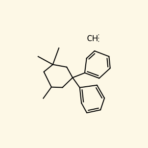 CC1CC(C)(C)CC(c2ccccc2)(c2ccccc2)C1.[CH]